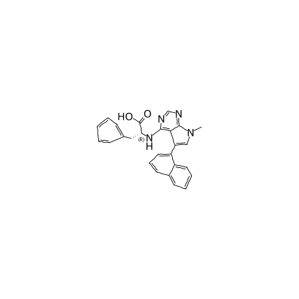 Cn1cc(-c2cccc3ccccc23)c2c(N[C@H](Cc3ccccc3)C(=O)O)ncnc21